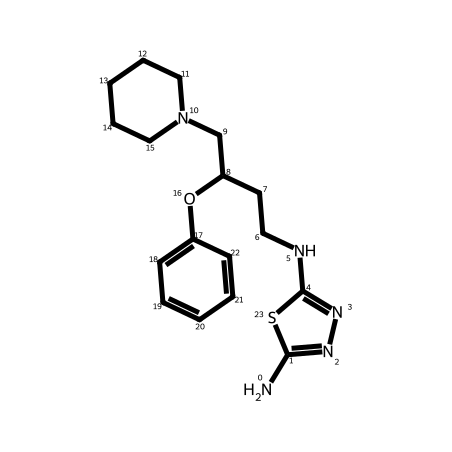 Nc1nnc(NCCC(CN2CCCCC2)Oc2ccccc2)s1